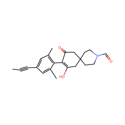 CC#Cc1cc(C)c(C2=C(O)CC3(CCN(C=O)CC3)CC2=O)c(C)c1